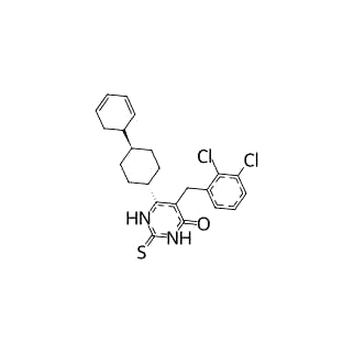 O=c1[nH]c(=S)[nH]c([C@H]2CC[C@H](C3C=CC=CC3)CC2)c1Cc1cccc(Cl)c1Cl